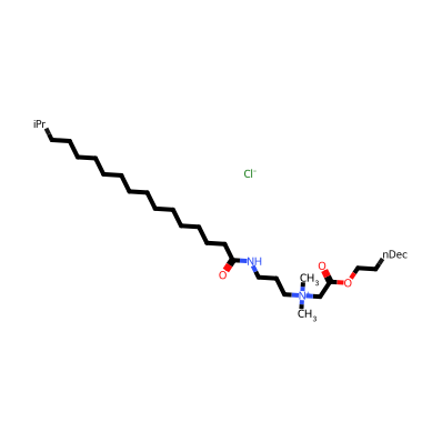 CCCCCCCCCCCCOC(=O)C[N+](C)(C)CCCNC(=O)CCCCCCCCCCCCCCC(C)C.[Cl-]